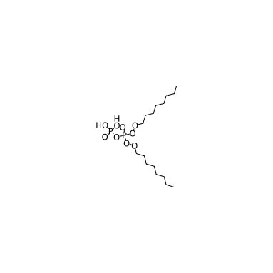 CCCCCCCCOOP(=O)(OOCCCCCCCC)OP(=O)(O)O